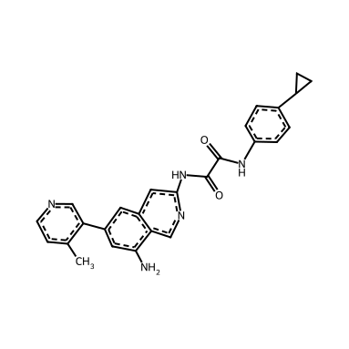 Cc1ccncc1-c1cc(N)c2cnc(NC(=O)C(=O)Nc3ccc(C4CC4)cc3)cc2c1